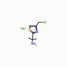 CC(C)(N)c1nc(CCl)cs1.Cl